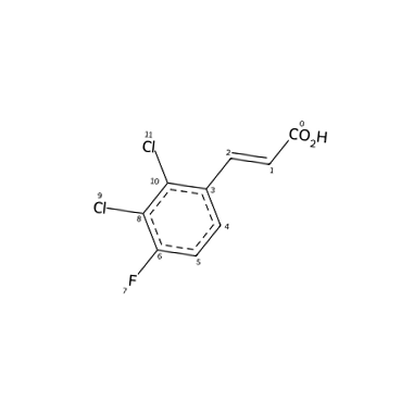 O=C(O)/C=C/c1ccc(F)c(Cl)c1Cl